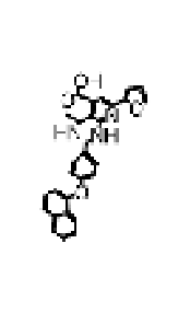 CC(=N)c1c(C(=O)O)cc(-c2ccco2)nc1NCc1ccc(Oc2cccc3ccccc23)cc1